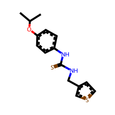 CC(C)Oc1ccc(NC(=S)NCc2ccsc2)cc1